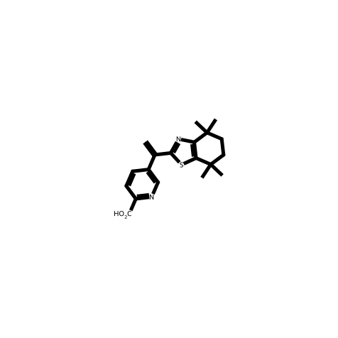 C=C(c1ccc(C(=O)O)nc1)c1nc2c(s1)C(C)(C)CCC2(C)C